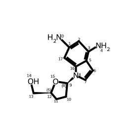 Nc1cc(N)c2ccn([C@H]3CC[C@@H](CO)O3)c2c1